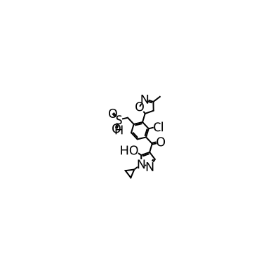 CC1=NOC(c2c(C[SH](=O)=O)ccc(C(=O)c3cnn(C4CC4)c3O)c2Cl)C1